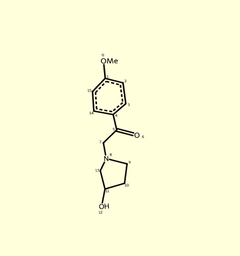 COc1ccc(C(=O)CN2CCC(O)C2)cc1